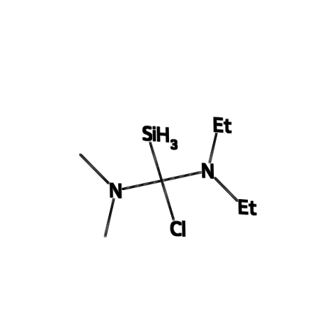 CCN(CC)C([SiH3])(Cl)N(C)C